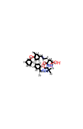 Cc1cc(/C=C/C[C@H](CC(=O)O)C(=O)NC(C(=O)N[C@H](C)c2ccccc2)C(C)(C)C)ccc1Oc1ccccc1